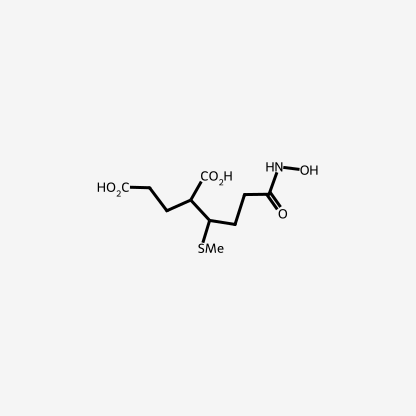 CSC(CCC(=O)NO)C(CCC(=O)O)C(=O)O